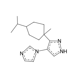 CC(C)C1CCC(C)(c2n[nH]cc2-n2ccnc2)CC1